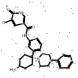 C[C@H]1CC[C@](c2cccc(NC(=O)c3c[nH]c(=O)c(Cl)c3)c2)(N2CCN(c3ccccc3)CC2)CC1